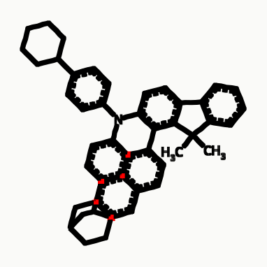 CC1(C)c2ccccc2-c2ccc(N(c3ccc(C4CCCCC4)cc3)c3ccc(C4CC5CCC4CC5)cc3)c(-c3ccc4ccccc4c3)c21